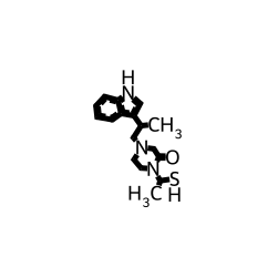 CC(CN1CCN(C(C)S)C(=O)C1)c1c[nH]c2ccccc12